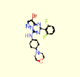 Fc1cccc(F)c1-c1nc(NC2CCC(N3CCOCC3)CC2)n2ncc(Br)c2n1